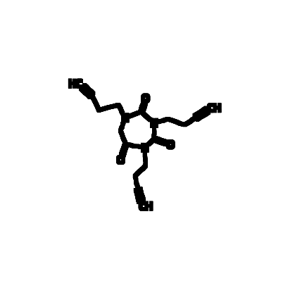 C#CCCN1CC(=O)N(CCC#C)C(=O)N(CCC#C)C1=O